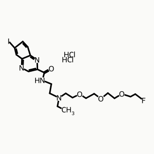 CCN(CCNC(=O)c1cnc2cc(I)ccc2n1)CCOCCOCCOCCF.Cl.Cl